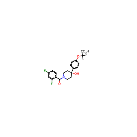 CC(C)(Oc1ccc(C2(O)CCN(C(=O)c3ccc(F)cc3F)CC2)cc1)C(=O)O